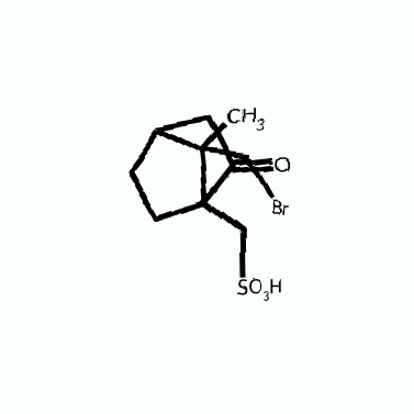 CC1(CBr)C2CCC1(CS(=O)(=O)O)C(=O)C2